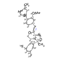 COc1cc(/C=C2\OCCN3C2=NOC3(C)c2cc(F)cc(F)c2)ccc1-n1cnc(C)c1